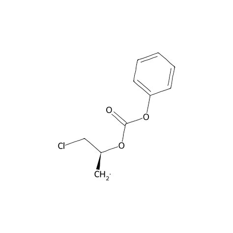 [CH2][C@@H](CCl)OC(=O)Oc1ccccc1